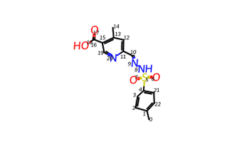 Cc1ccc(S(=O)(=O)N/N=C/c2cc(C)c(C(=O)O)cn2)cc1